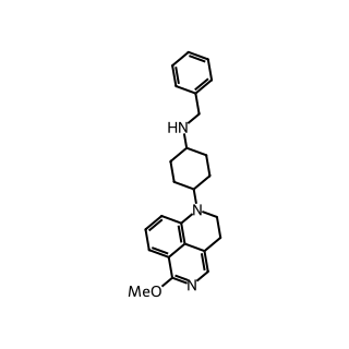 COc1ncc2c3c(cccc13)N(C1CCC(NCc3ccccc3)CC1)CC2